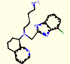 NCCCCN(Cc1nc2c(F)cccc2[nH]1)C1CCCc2cccnc21